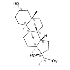 C[C@@H](O)[C@@]1(O)CC[C@H]2[C@H]3CC[C@@]4(C)C[C@@H](O)CC[C@]4(C)[C@@H]3CC[C@@]21C